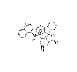 O=C(Nc1ccnc2ccccc12)C1CNCC2C(=O)OC(c3ccccc3)(c3ccccc3)N12